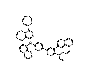 C=C/C=C(\C=C)c1ccc(-c2ccc(N(c3ccc(C4=CC=CCC=C4)c4c3C=CC=CC4)c3cccc4ccccc34)cc2)cc1-c1ccc2ccccc2c1